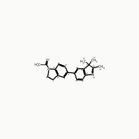 CC(=O)N1CCc2cc(-c3ccc4c(c3)C(C)(C)C(C)=N4)ccc21